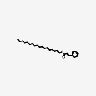 CCCCCCCCCCCCCCCCCCOC(=O)/C=C/c1ccccc1